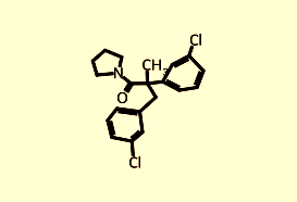 CC(Cc1cccc(Cl)c1)(C(=O)N1CCCC1)c1cccc(Cl)c1